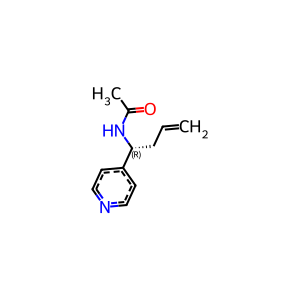 C=CC[C@@H](NC(C)=O)c1ccncc1